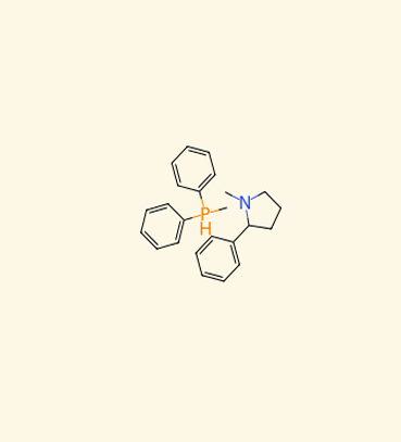 CN1CCCC1c1ccccc1[PH](C)(c1ccccc1)c1ccccc1